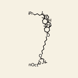 CCCCCCCCOC[C@@H](CN(C)C)OCCCCCCCCO[C@H]1CC[C@@]2(C)C(=CC[C@H]3[C@@H]4CC[C@H]([C@H](C)CCCC(C)C)[C@@]4(C)CC[C@@H]32)C1